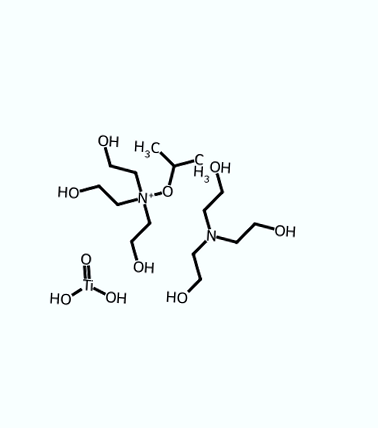 CC(C)O[N+](CCO)(CCO)CCO.OCCN(CCO)CCO.[O]=[Ti]([OH])[OH]